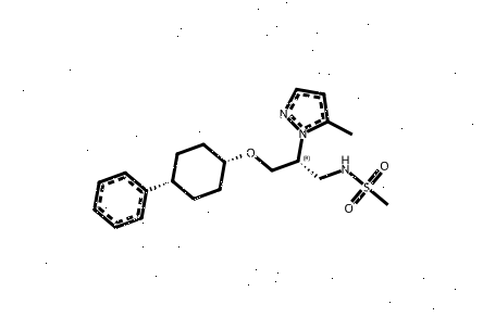 Cc1ccnn1[C@H](CNS(C)(=O)=O)CO[C@H]1CC[C@@H](c2ccccc2)CC1